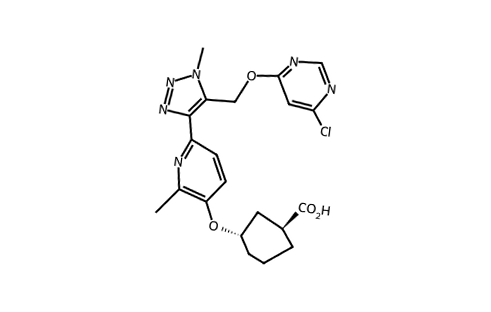 Cc1nc(-c2nnn(C)c2COc2cc(Cl)ncn2)ccc1O[C@H]1CCC[C@H](C(=O)O)C1